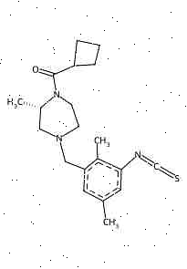 Cc1cc(CN2CCN(C(=O)C3CCC3)[C@@H](C)C2)c(C)c(N=C=S)c1